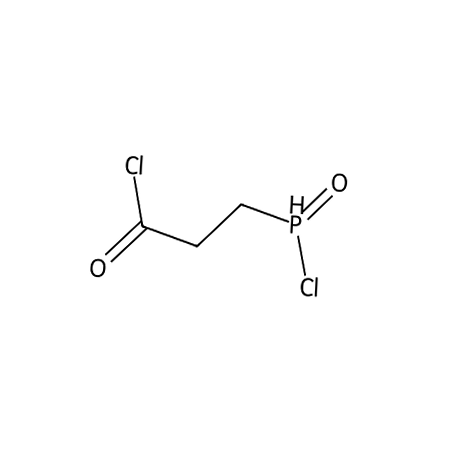 O=C(Cl)CC[PH](=O)Cl